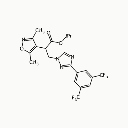 Cc1noc(C)c1C(Cn1cnc(-c2cc(C(F)(F)F)cc(C(F)(F)F)c2)n1)C(=O)OC(C)C